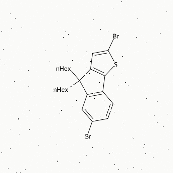 CCCCCCC1(CCCCCC)c2cc(Br)ccc2-c2sc(Br)cc21